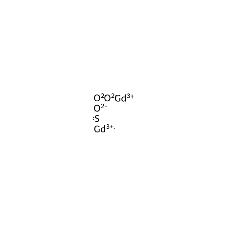 [Gd+3].[Gd+3].[O-2].[O-2].[O-2].[S]